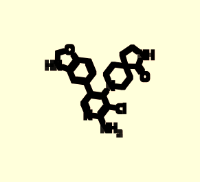 Nc1ncc(-c2ccc3c(c2)NCO3)c(N2CCC3(CCNC3=O)CC2)c1Cl